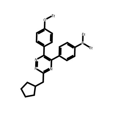 CCOc1ccc(-c2nnc(CC3CCCC3)nc2-c2ccc(N(CC)CC)cc2)cc1